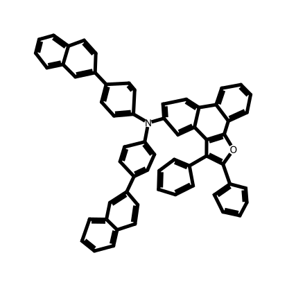 c1ccc(-c2oc3c4ccccc4c4ccc(N(c5ccc(-c6ccc7ccccc7c6)cc5)c5ccc(-c6ccc7ccccc7c6)cc5)cc4c3c2-c2ccccc2)cc1